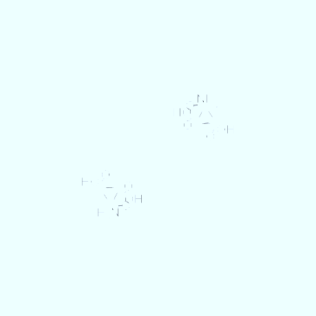 NC(=O)c1ccc(C(=O)O)c(CCCCCCCCCCCCCCCCc2c(C(=O)O)ccc(C(N)=O)c2C(=O)O)c1C(=O)O